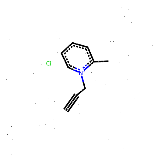 C#CC[n+]1ccccc1C.[Cl-]